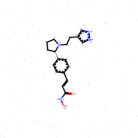 O=C(/C=C/c1ccc([C@@H]2CCCN2CCc2cn[nH]c2)cc1)NO